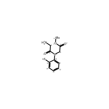 CC(C)(C)OC(=O)CN(C(=O)CN)c1ccccc1F